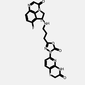 O=C1CSc2ccc(-n3nc(CCCN[C@@H]4Cn5c(=O)cnc6ccc(F)c4c65)oc3=O)nc2N1